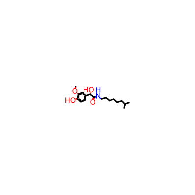 COc1cc(C(O)C(=O)NCCCCCCC(C)C)ccc1O